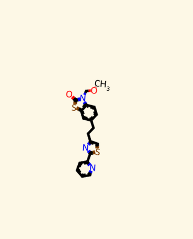 COCn1c(=O)sc2cc(CCc3csc(-c4ccccn4)n3)ccc21